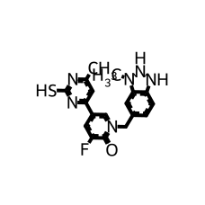 Cc1cc(-c2cc(F)c(=O)n(Cc3ccc4c(c3)N(C)NN4)c2)nc(S)n1